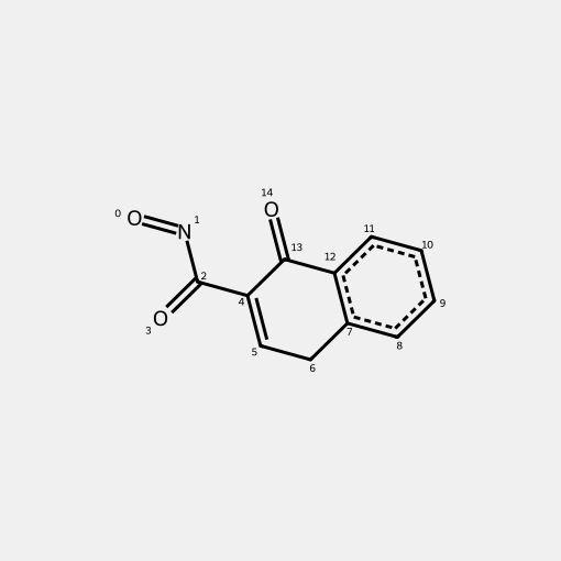 O=NC(=O)C1=CCc2ccccc2C1=O